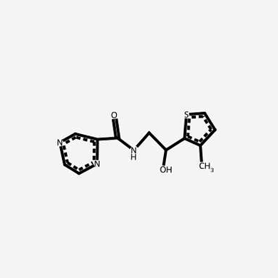 Cc1ccsc1C(O)CNC(=O)c1cnccn1